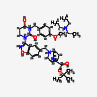 CCN(CC)CC.COc1ccc(CN2C(=O)CCN(c3noc4ccc(CN5CC6CCC5CN6C(=O)OC(C)(C)C)cc34)C2=O)cc1